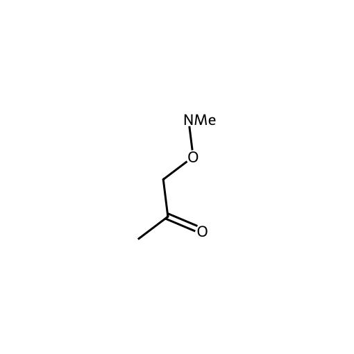 CNOCC(C)=O